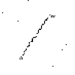 CCCCCCCCCCCCCCCCCCCCCCCCCCCO[C]=O